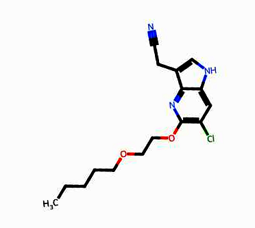 CCCCCOCCOc1nc2c(CC#N)c[nH]c2cc1Cl